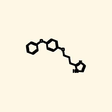 c1ccc(Oc2ccc(OCCCc3ncc[nH]3)cc2)cc1